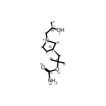 C[C@@H](O)CN1CC[C@H](CC(C)(C)OC(N)=O)C1